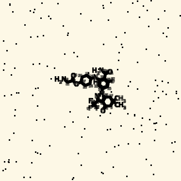 CC1(C)CC(=O)c2c(C(F)(F)F)nn(-c3cc(F)c(C(N)=O)c(NC4CCC(OC(=O)CN)CC4)c3)c2C1